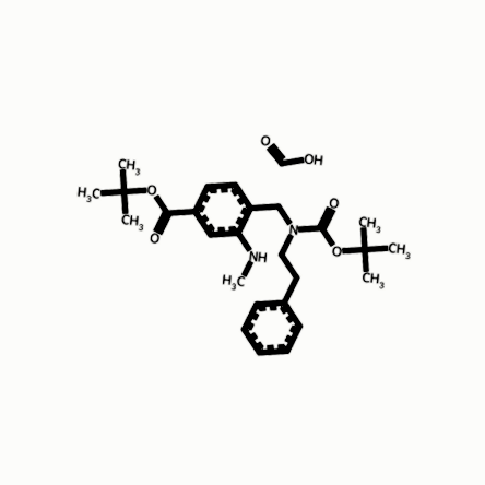 CNc1cc(C(=O)OC(C)(C)C)ccc1CN(CCc1ccccc1)C(=O)OC(C)(C)C.O=CO